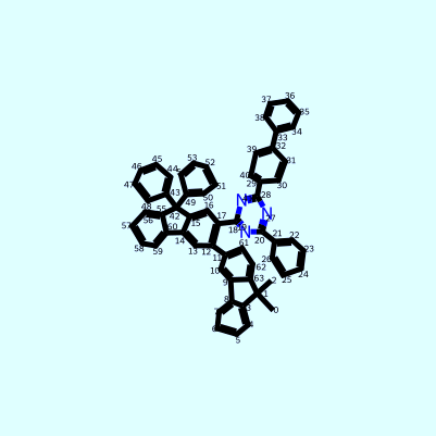 CC1(C)c2ccccc2-c2cc(-c3cc4c(cc3-c3nc(-c5ccccc5)nc(-c5ccc(-c6ccccc6)cc5)n3)C(c3ccccc3)(c3ccccc3)c3ccccc3-4)ccc21